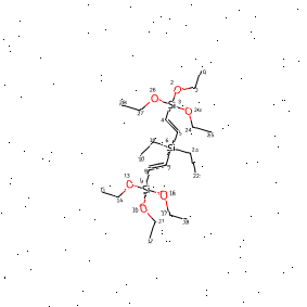 CCO[Si](C=C[Si](C=C[Si](OCC)(OCC)OCC)(CC)CC)(OCC)OCC